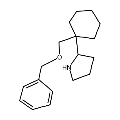 c1ccc(COCC2(C3CCCN3)CCCCC2)cc1